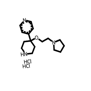 Cl.Cl.c1cc(C2(OCCN3CCCC3)CCNCC2)ccn1